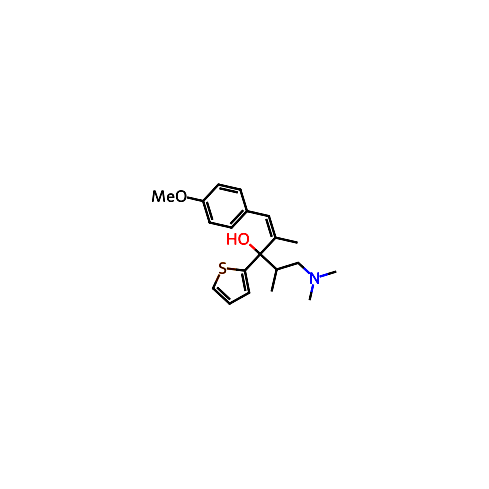 COc1ccc(C=C(C)C(O)(c2cccs2)C(C)CN(C)C)cc1